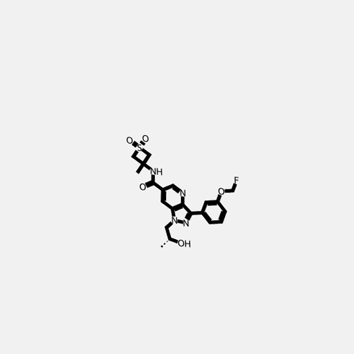 C[C@@H](O)Cn1nc(-c2cccc(OCF)c2)c2ncc(C(=O)NC3(C)CS(=O)(=O)C3)cc21